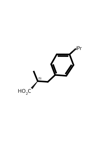 CC(C)c1ccc(C[C@H](C)C(=O)O)cc1